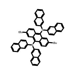 CC(C)(C)c1ccc2c(N(c3ccc4ccccc4c3)c3ccc4ccccc4c3)c3cc(C(C)(C)C)ccc3c(N(c3ccc4ccccc4c3)c3ccc4ccccc4c3)c2c1